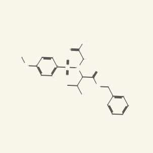 COc1ccc(S(=O)(=O)N(CC(=O)O)C(C(=O)OCc2ccccc2)C(C)C)cc1